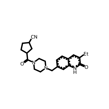 CCc1cc2ccc(CN3CCN(C(=O)C4CCC(C#N)C4)CC3)cc2[nH]c1=O